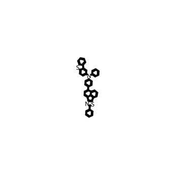 c1ccc(-c2nc3c(s2)-c2cccc4c(-c5ccc(N(c6ccccc6)c6ccc7sc8ccccc8c7c6)cc5)ccc-3c24)cc1